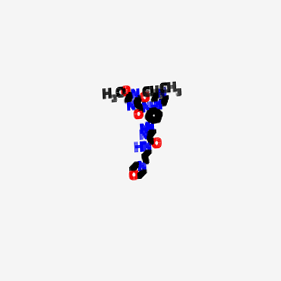 COc1cnc(C(=O)Nc2cc(-n3cc(C(=O)NCCCN4CCOCC4)nn3)ccc2N2CCN(C)CC2)c(OC)n1